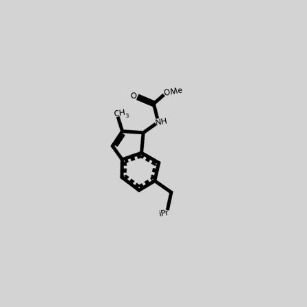 COC(=O)NC1C(C)=Cc2ccc(CC(C)C)cc21